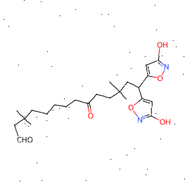 CC(C)(CC=O)CCCCCC(=O)CCC(C)(C)CC(c1cc(O)no1)c1cc(O)no1